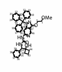 COCCOc1nn(C(c2ccccc2)(c2ccccc2)c2ccccc2)c2cc(NC(=O)NC(c3ccccc3)C3(O)CCC3)ncc12